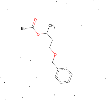 CCC(=O)OC(C)CCOCc1ccccc1